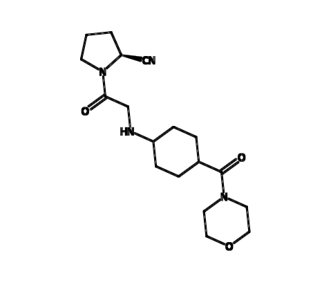 N#C[C@@H]1CCCN1C(=O)CNC1CCC(C(=O)N2CCOCC2)CC1